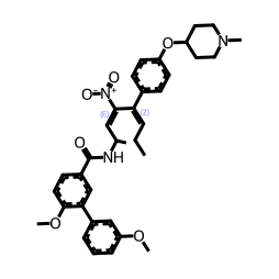 CC/C=C(\C(=C/C(C)NC(=O)c1ccc(OC)c(-c2cccc(OC)c2)c1)[N+](=O)[O-])c1ccc(OC2CCN(C)CC2)cc1